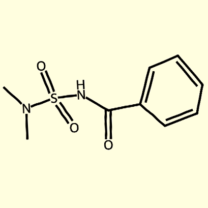 CN(C)S(=O)(=O)NC(=O)c1ccccc1